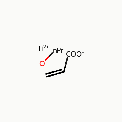 C=CC(=O)[O-].CCC[O-].[Ti+2]